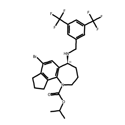 CC(C)OC(=O)N1CCC[C@H](NCc2cc(C(F)(F)F)cc(C(F)(F)F)c2)c2cc(Br)c3c(c21)CCC3